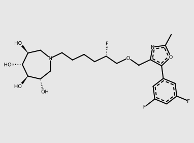 Cc1nc(COC[C@@H](F)CCCCN2C[C@H](O)[C@@H](O)[C@H](O)[C@@H](O)C2)c(-c2cc(F)cc(F)c2)o1